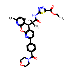 CCOC(=O)c1nnc(NC(=O)C(C)(C)C2c3ccc(C)nc3Oc3nc(-c4ccc(C(=O)N5CCOCC5)cc4)ccc32)s1